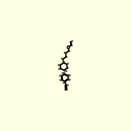 C=COCCCC[C@H]1CC[C@H](c2ccc(C#N)cc2)CC1